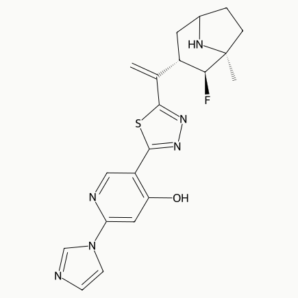 C=C(c1nnc(-c2cnc(-n3ccnc3)cc2O)s1)[C@@H]1CC2CC[C@](C)(N2)[C@H]1F